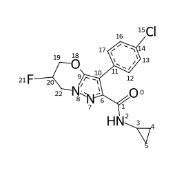 O=C(NC1CC1)c1nn2c(c1-c1ccc(Cl)cc1)OCC(F)C2